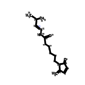 C=C1C=CC(=O)N1CCCCCC(=O)N/N=C/C(C)C